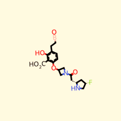 O=BCCc1ccc(OC2CN(C(=O)C[C@@H]3C[C@H](F)CN3)C2)c(C(=O)O)c1O